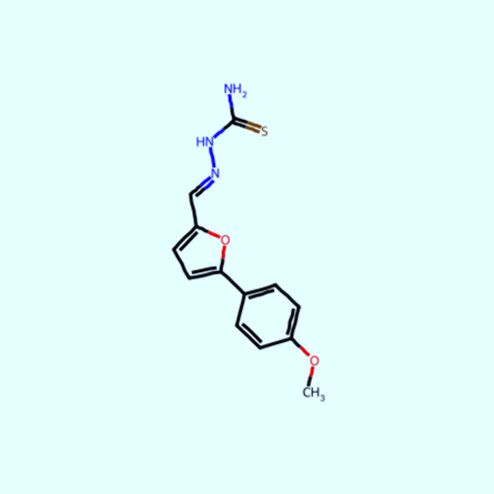 COc1ccc(-c2ccc(C=NNC(N)=S)o2)cc1